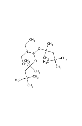 CCN(CC)P(OC(C)(C)C[Si](C)(C)C)OC(C)(C)C[Si](C)(C)C